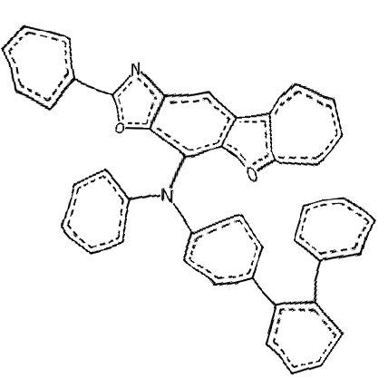 c1ccc(-c2nc3cc4c(oc5ccccc54)c(N(c4ccccc4)c4ccc(-c5ccccc5-c5ccccc5)cc4)c3o2)cc1